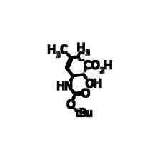 CC(C)=C[C@H](NC(=O)OC(C)(C)C)[C@@H](O)C(=O)O